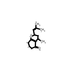 CC(C)=CC1CC(C)C2=C(CCCC2=O)O1